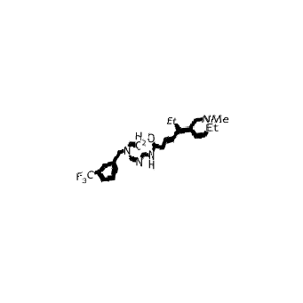 C=CN(/C=N\CNC(=O)C/C=C/C(CC)=C(\C=C/CC)CNC)Cc1cccc(C(F)(F)F)c1